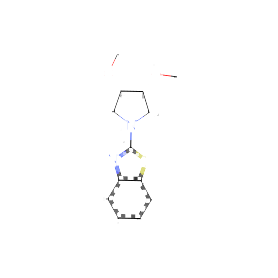 CO[C@H]1CN(c2nc3ccccc3s2)C[C@H]1OC